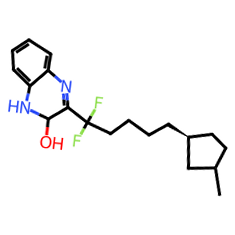 CC1CC[C@H](CCCCC(F)(F)C2=Nc3ccccc3NC2O)C1